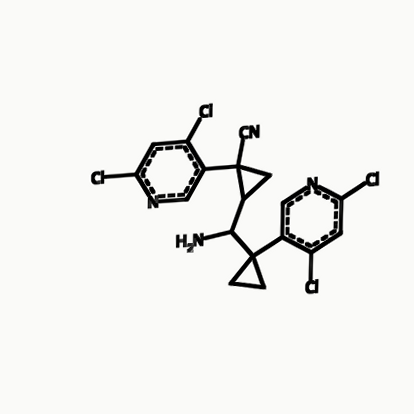 N#CC1(c2cnc(Cl)cc2Cl)CC1C(N)C1(c2cnc(Cl)cc2Cl)CC1